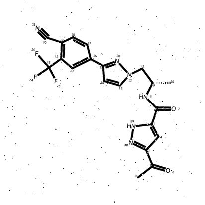 CC(=O)c1cc(C(=O)N[C@@H](C)Cn2ccc(-c3ccc(C#N)c(C(F)(F)F)c3)n2)[nH]n1